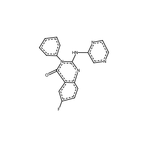 O=c1c2cc(F)ccc2nc(Nc2cnccn2)n1-c1ccccc1